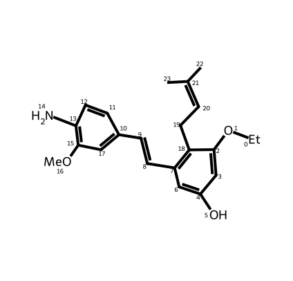 CCOc1cc(O)cc(C=Cc2ccc(N)c(OC)c2)c1CC=C(C)C